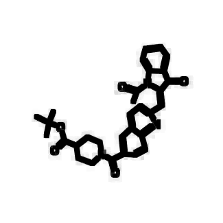 CC(=O)N1/C(=C\c2ccc3cc(C(=O)N4CCC(C(=O)OC(C)(C)C)CC4)ccc3n2)C(=O)c2ccccc21